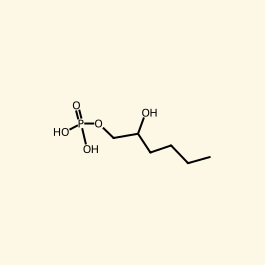 CCCCC(O)COP(=O)(O)O